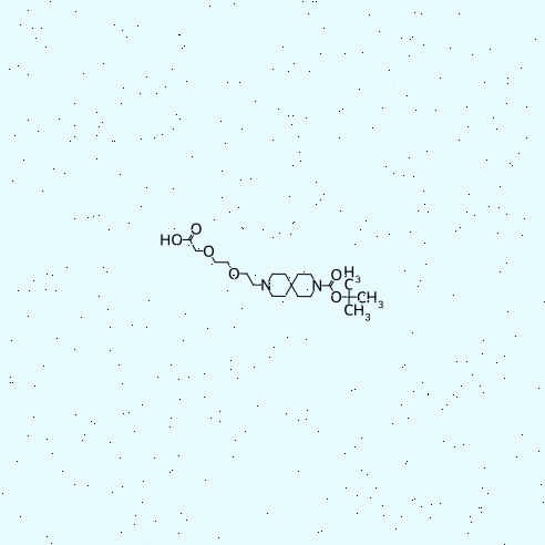 CC(C)(C)OC(=O)N1CCC2(CCN(CCOCCOCC(=O)O)CC2)CC1